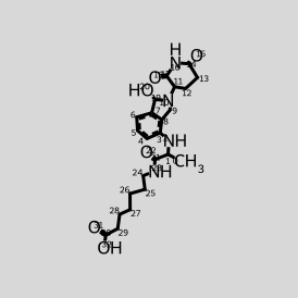 CC(Nc1cccc2c1CN(C1CCC(=O)NC1=O)C2O)C(=O)NCCCCCCC(=O)O